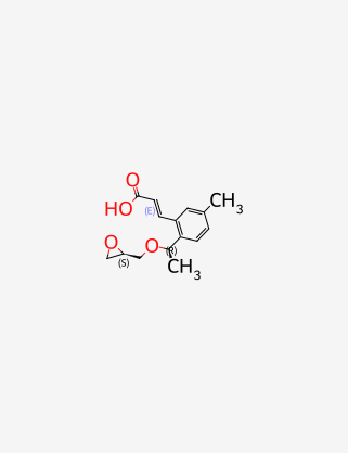 Cc1ccc([C@@H](C)OC[C@H]2CO2)c(/C=C/C(=O)O)c1